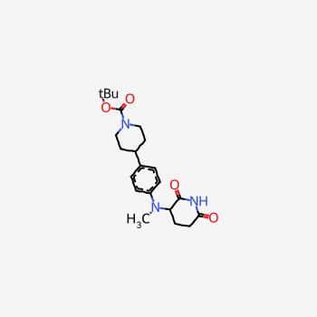 CN(c1ccc(C2CCN(C(=O)OC(C)(C)C)CC2)cc1)C1CCC(=O)NC1=O